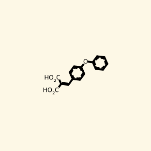 O=C(O)C(=Cc1ccc(Oc2ccccc2)cc1)C(=O)O